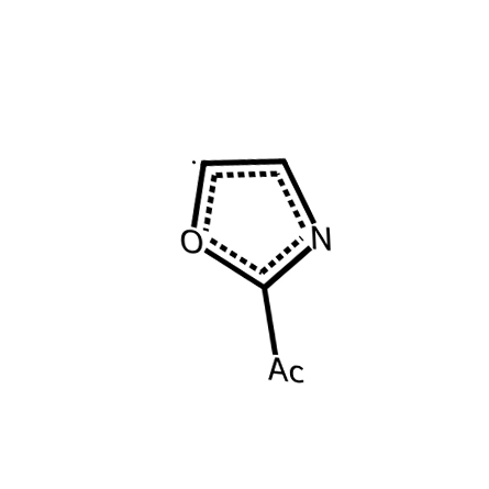 CC(=O)c1nc[c]o1